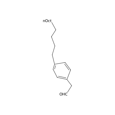 CCCCCCCCCCCCc1ccc(CC=O)cc1